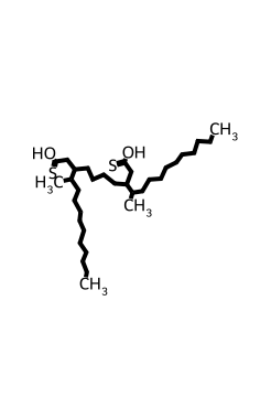 CCCCCCCCCCC(C)C(CCCCC(CC(O)=S)C(C)CCCCCCCCCC)CC(O)=S